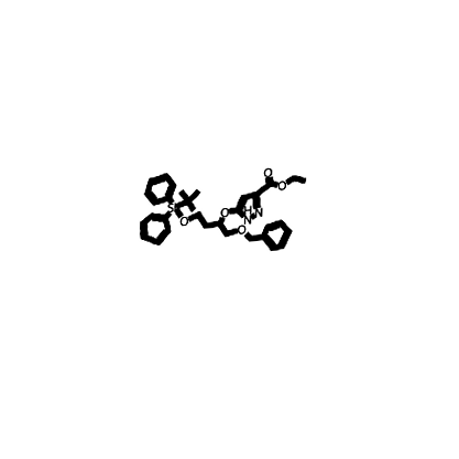 CCOC(=O)c1cc(OC(CCO[Si](c2ccccc2)(c2ccccc2)C(C)(C)C)COCc2ccccc2)[nH]n1